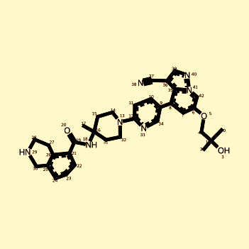 CC(C)(O)COc1cc(-c2ccc(N3CCC(C)(NC(=O)c4cccc5c4CCNC5)CC3)nc2)c2c(C#N)cnn2c1